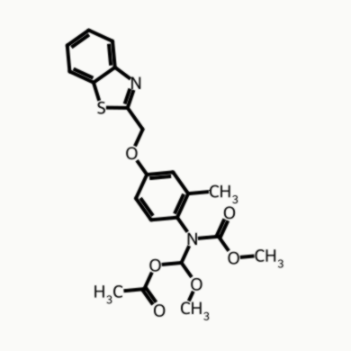 COC(=O)N(c1ccc(OCc2nc3ccccc3s2)cc1C)C(OC)OC(C)=O